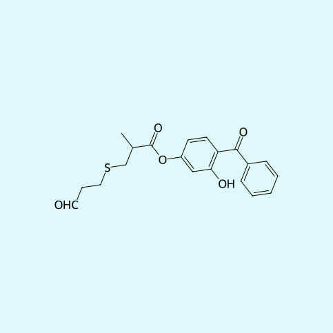 CC(CSCCC=O)C(=O)Oc1ccc(C(=O)c2ccccc2)c(O)c1